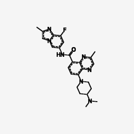 Cc1cnc2c(N3CCC(N(C)C)CC3)ccc(C(=O)Nc3cc(F)c4nc(C)cn4c3)c2n1